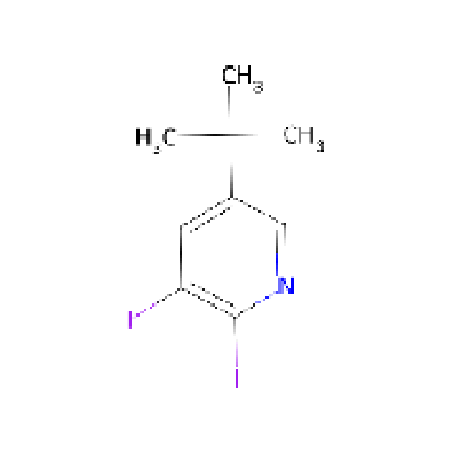 CC(C)(C)c1cnc(I)c(I)c1